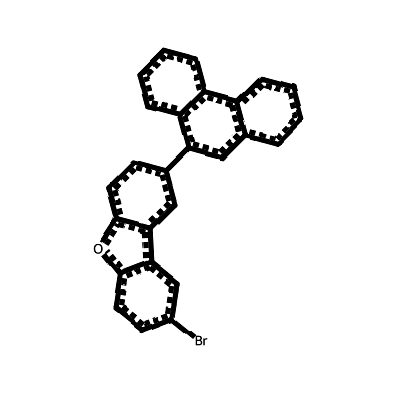 Brc1ccc2oc3ccc(-c4cc5ccccc5c5ccccc45)cc3c2c1